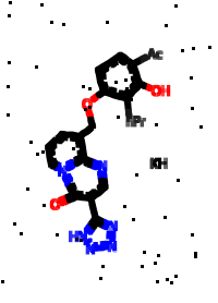 CCCc1c(OCc2cccn3c(=O)c(-c4nnn[nH]4)cnc23)ccc(C(C)=O)c1O.[KH]